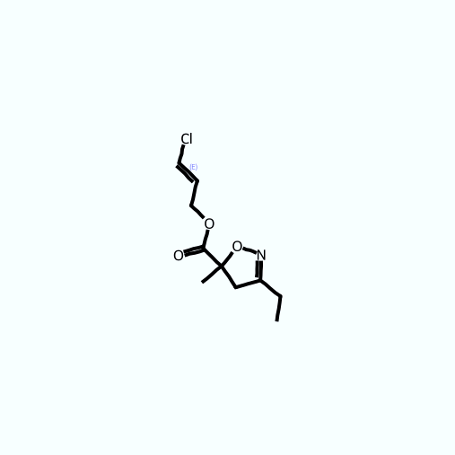 CCC1=NOC(C)(C(=O)OC/C=C/Cl)C1